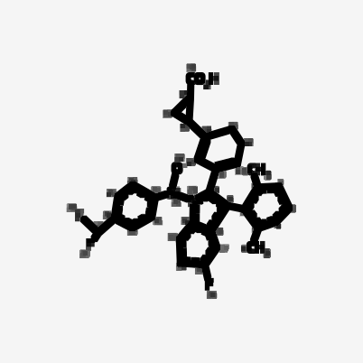 Cc1cccc(C)c1-c1c(C2=CCCC(C3CC3C(=O)O)=C2)n([S+]([O-])c2ccc(C(F)F)cc2)c2ccc(F)cc12